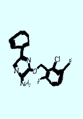 Nc1ncc(-c2cc[c]cc2)nc1OCc1c(F)ccc(F)c1Cl